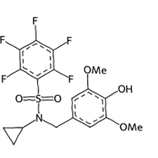 COc1cc(CN(C2CC2)S(=O)(=O)c2c(F)c(F)c(F)c(F)c2F)cc(OC)c1O